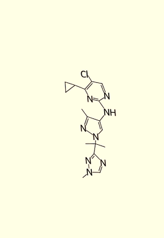 Cc1nn(C(C)(C)c2ncn(C)n2)cc1Nc1ncc(Cl)c(C2CC2)n1